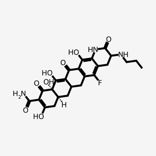 CCCNC1Cc2c(F)c3c(c(O)c2NC1=O)C(=O)C1=C(O)[C@]2(O)C(=O)C(C(N)=O)=C(O)C[C@@H]2CC1C3